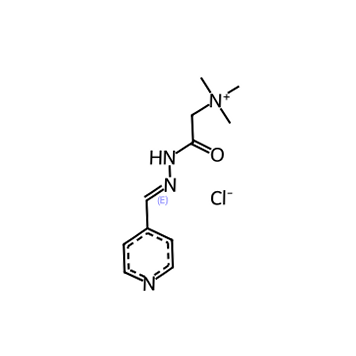 C[N+](C)(C)CC(=O)N/N=C/c1ccncc1.[Cl-]